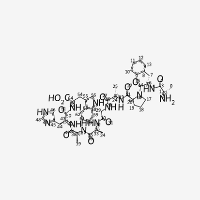 C[C@H](N)C(=O)N[C@@H](Cc1ccccc1)C(=O)N1CCC[C@H]1C(=O)N[C@@H](C)C(=O)NCC(=O)N[C@@H](C)C(=O)N[C@@H](C)C(=O)N[C@@H](Cc1c[nH]cn1)C(=O)N[C@@H](Cc1c[nH]c2ccccc12)C(=O)O